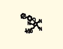 CC(C)(C)[Si](C)(C)OCCC1C(C#N)=C(C#N)C(Oc2ccc([SH]3CCCCC3)cc2)=C1C#N